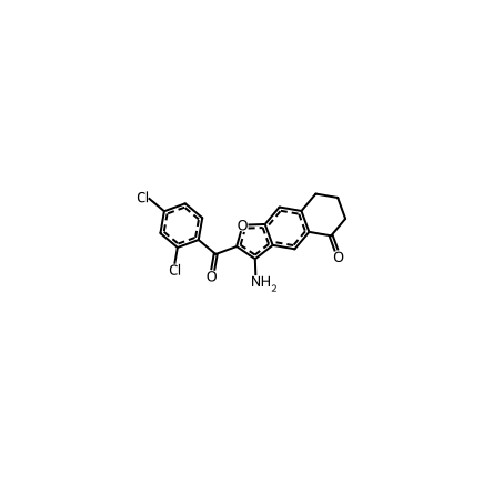 Nc1c(C(=O)c2ccc(Cl)cc2Cl)oc2cc3c(cc12)C(=O)CCC3